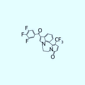 O=C(c1cc(F)c(F)c(F)c1)c1cn2c3c(cccc13)-c1c(C(F)(F)F)ccc(=O)n1CCC2